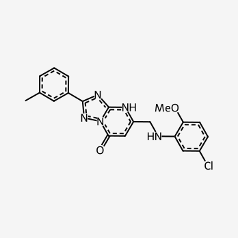 COc1ccc(Cl)cc1NCc1cc(=O)n2nc(-c3cccc(C)c3)nc2[nH]1